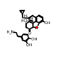 NCCc1ccc(O)c(O)c1.O=C1CC[C@@]2(O)[C@H]3Cc4ccc(O)c5c4[C@@]2(CCN3CC2CC2)[C@H]1O5